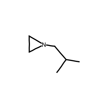 CC(C)CN1CC1